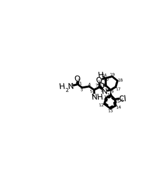 NC(=O)CCC(N)C1=N[C@@]2(c3ccccc3Cl)CCC[C@@H](O1)C2=O